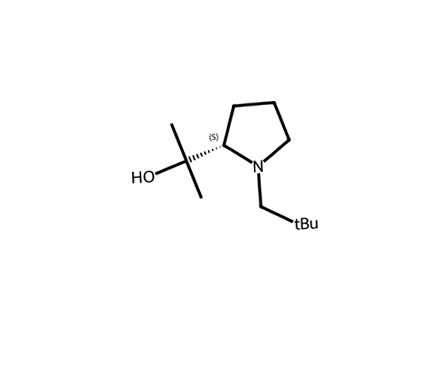 CC(C)(C)CN1CCC[C@H]1C(C)(C)O